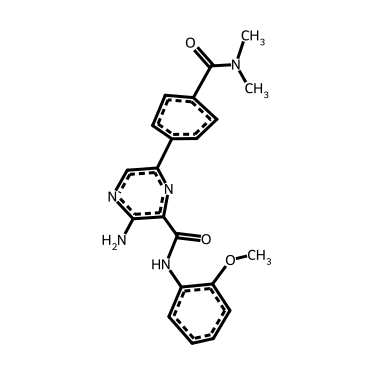 COc1ccccc1NC(=O)c1nc(-c2ccc(C(=O)N(C)C)cc2)cnc1N